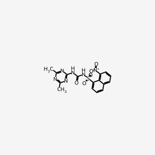 Cc1nc(C)nc(NC(=O)NS(=O)(=O)c2cccc3cccc([N+](=O)[O-])c23)n1